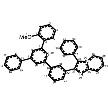 COc1ccccc1-c1cc(-c2ccccc2)cc(-c2cccc(-c3nc4ccccn4c3-c3ccccc3)c2)n1